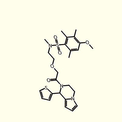 COc1cc(C)c(S(=O)(=O)N(C)CCOCC(=O)N2CCn3cccc3C2c2cccs2)c(C)c1C